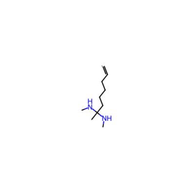 [CH]=CCCCCC(C)(NC)NC